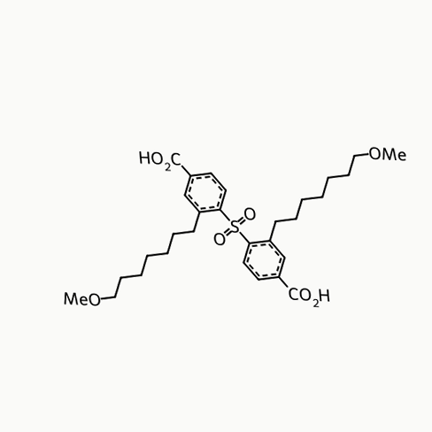 COCCCCCCCc1cc(C(=O)O)ccc1S(=O)(=O)c1ccc(C(=O)O)cc1CCCCCCCOC